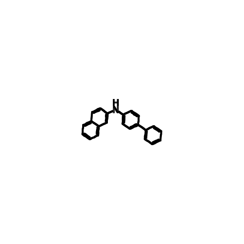 c1ccc(-c2ccc(Nc3ccc4ccccc4c3)cc2)cc1